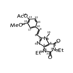 CCn1c(=O)c2c(nc(/C=C/c3ccc(OC(C)=O)c(OC)c3)n2C)n(CC)c1=O